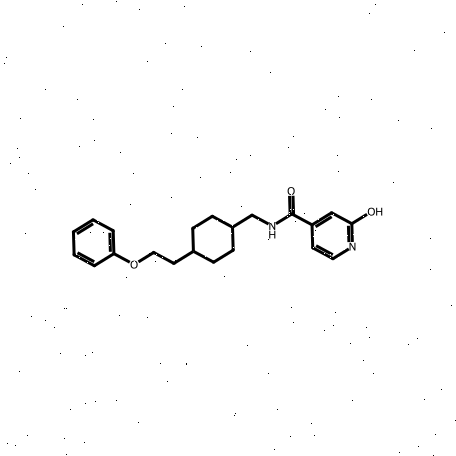 O=C(NCC1CCC(CCOc2ccccc2)CC1)c1ccnc(O)c1